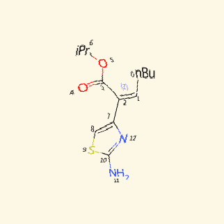 CCCC/C=C(\C(=O)OC(C)C)c1csc(N)n1